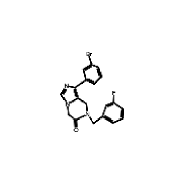 O=C1Cn2cnc(-c3cccc(Br)c3)c2CN1Cc1cccc(F)c1